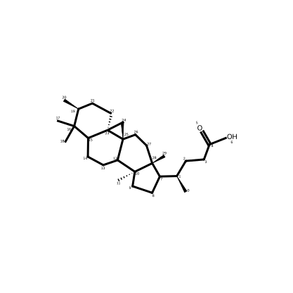 C[C@H](CCC(=O)O)C1CC[C@@]2(C)C3CCC4C(C)(C)[C@@H](C)CC[C@@]45C[C@@]35CC[C@]12C